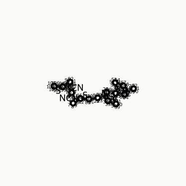 N#Cc1cc(-n2c3ccccc3c3cc4c(cc32)sc2cc(-c3ccc(-n5c6ccccc6c6c5ccc5c7ccccc7n(-c7cc(C#N)c(-n8c9ccccc9c9ccc%10c(c%11ccccc%11n%10-c%10ccccc%10)c98)cc7C#N)c56)cc3)ccc24)c(C#N)cc1-n1c2ccccc2c2cc3c(cc21)sc1ccccc13